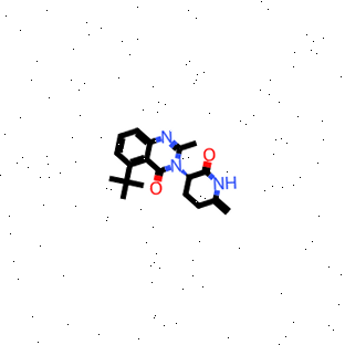 C=C1CC[C@@H](n2c(C)nc3cccc(C(C)(C)C)c3c2=O)C(=O)N1